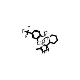 Cc1nnc(C2CCCCN2S(=O)(=O)c2ccc(C(F)(F)F)cc2Cl)s1